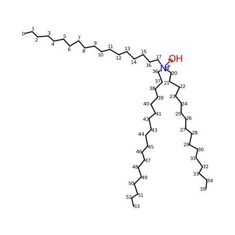 CCCCCCCCCCCCCCCCCC[N+](O)(CCCCCCCCCCCCCCCC)CCCCCCCCCCCCCCCCCC